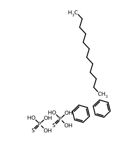 CCCCCCCCCCCC.OP(O)(O)=S.OP(O)(O)=S.c1ccccc1.c1ccccc1